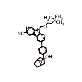 C[Si](C)(C)CCOCn1c2cnc(C#N)cc2c2cc(-c3ccc(CN4C5CCC4CC(O)C5)cc3)cnc21